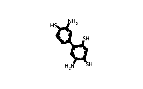 Nc1cc(-c2cc(N)c(S)cc2S)ccc1S